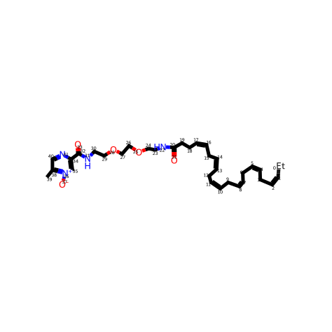 CC/C=C\C/C=C\C/C=C\C/C=C\C/C=C\C/C=C\CCC(=O)NCCOCCOCCNC(=O)c1c[n+]([O-])c(C)cn1